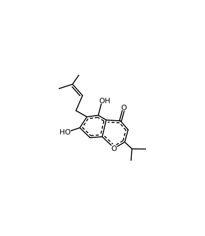 CC(C)=CCc1c(O)cc2oc(C(C)C)cc(=O)c2c1O